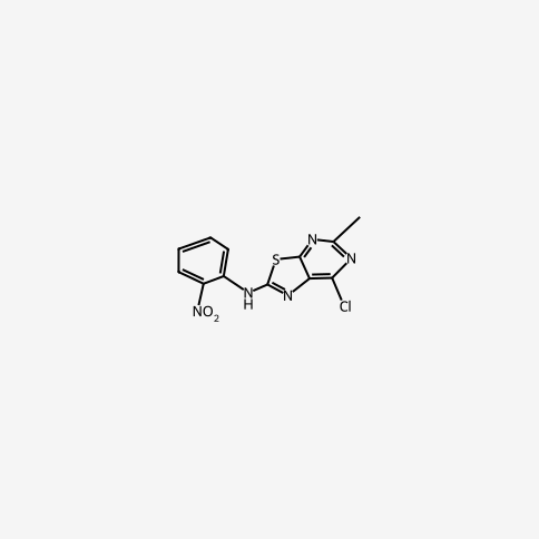 Cc1nc(Cl)c2nc(Nc3ccccc3[N+](=O)[O-])sc2n1